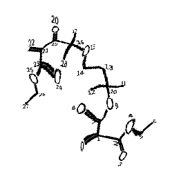 C=C(C(=O)OCC)C(=O)OC(C)(C)CCOC(C)(C)C(=O)C(=C)C(=O)OCC